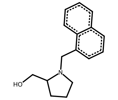 OCC1CCCN1Cc1cccc2ccccc12